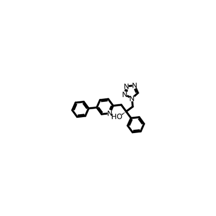 O[C@](Cc1ccc(-c2ccccc2)cn1)(Cn1cnnn1)c1ccccc1